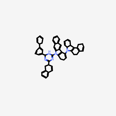 C1=CCC(c2cccc(C3N=C(C4C=Cc5ccccc5C4)N=C(n4c5c(c6cc7ccccc7cc64)C(N4C6=C(C7=C(C=CCC7)CC6)C6C=CC=CC64)=CCC5)N3)c2)C=C1